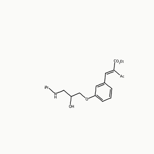 CCOC(=O)C(=Cc1cccc(OCC(O)CNC(C)C)c1)C(C)=O